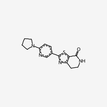 O=C1NCCc2nc(-c3ccc(N4CCCC4)nc3)sc21